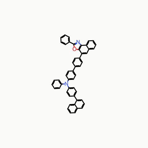 c1ccc(-c2nc3c(o2)c(-c2ccc(-c4ccc(N(c5ccccc5)c5ccc(-c6cccc7ccccc67)cc5)cc4)cc2)cc2ccccc23)cc1